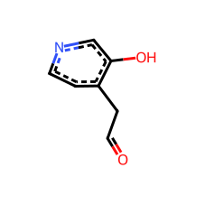 O=CCc1ccncc1O